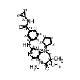 CN1C(=O)C(C)(C)CN(C2CCCC2)c2nc(Nc3cccc(C(=O)NC4CC4)c3)ncc21